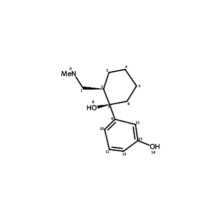 CNC[C@H]1CCCC[C@]1(O)c1cccc(O)c1